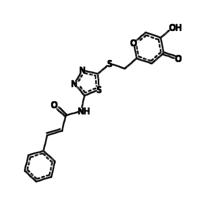 O=C(/C=C/c1ccccc1)Nc1nnc(SCc2cc(=O)c(O)co2)s1